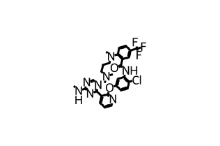 CNc1ncnc(-c2cccnc2Oc2ccc(Cl)c(NC(=O)c3cc(C(F)(F)F)ccc3N(C)CCCN(C)C)c2)n1